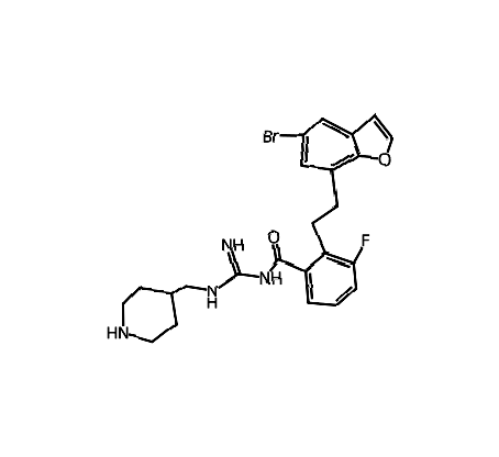 N=C(NCC1CCNCC1)NC(=O)c1cccc(F)c1CCc1cc(Br)cc2ccoc12